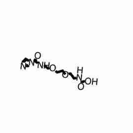 O=C(O)NCCOCCOCCNC(=O)n1ccnc1